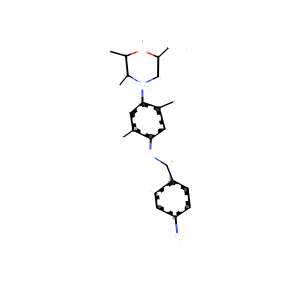 Cc1cc(N2CC(C)OC(C)C2C)c(C)cc1NCc1ccc(N)cc1